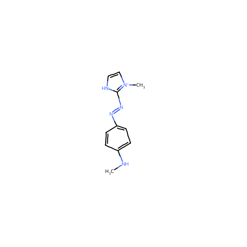 CNc1ccc(N=Nc2[nH]cc[n+]2C)cc1